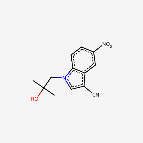 CC(C)(O)Cn1cc(C#N)c2cc([N+](=O)[O-])ccc21